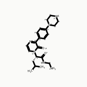 CC(C)C[C@@H](C(=O)NCN)n1ccnc(-c2ccc(N3CCNCC3)cc2)c1=O